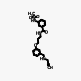 C#CCNCc1cccc(OCCCNC(=O)c2cccc(NS(C)(=O)=O)c2)c1